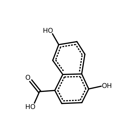 O=C(O)c1ccc(O)c2ccc(O)cc12